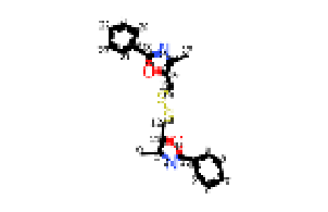 Cc1nc(-c2ccccc2)oc1CSSCc1oc(-c2ccccc2)nc1C